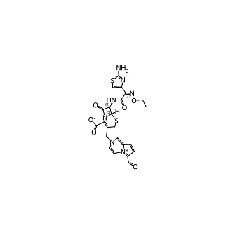 CCO/N=C(\C(=O)N[C@@H]1C(=O)N2C(C(=O)[O-])=C(Cn3cc[n+]4c(C=O)ccc-4c3)CS[C@@H]12)c1csc(N)n1